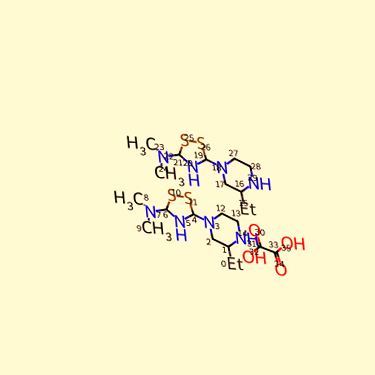 CCC1CN(C2NC(N(C)C)SS2)CCN1.CCC1CN(C2NC(N(C)C)SS2)CCN1.O=C(O)C(=O)O